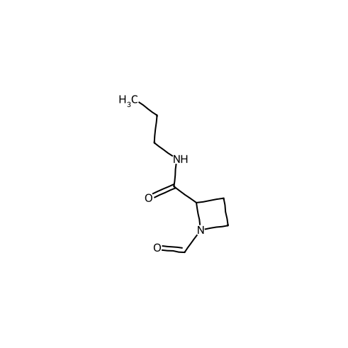 CCCNC(=O)C1CCN1C=O